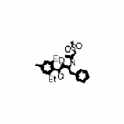 CCc1cc(C)cc(CC)c1C(=O)C(=O)C(Cc1ccccc1)N=C(C)CS(C)(=O)=O